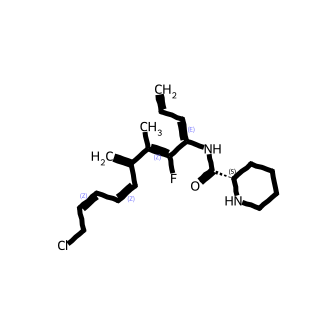 C=C/C=C(NC(=O)[C@@H]1CCCCN1)\C(F)=C(/C)C(=C)/C=C\C=C/CCl